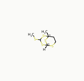 CSC1S[C@H]2SCC[C@@](C)(S1)S2